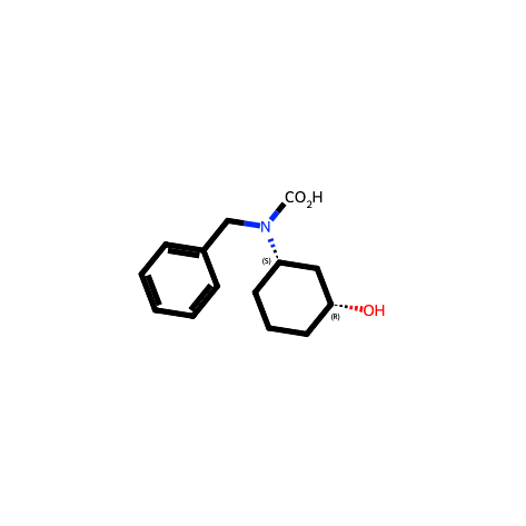 O=C(O)N(Cc1ccccc1)[C@H]1CCC[C@@H](O)C1